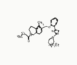 CCOC(=O)[C@@]12CCN(c3nc(-c4ccccc4OCc4ccc5c(c4C)CCN(C(=O)OC(C)(C)C)C5)cs3)CC1C2